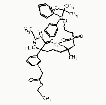 CCOC(=O)Cc1cccc([C@@](C)(CCCC(C)(C)CS(=O)(=O)CCO[Si](c2ccccc2)(c2ccccc2)C(C)(C)C)C(=O)NNC)c1